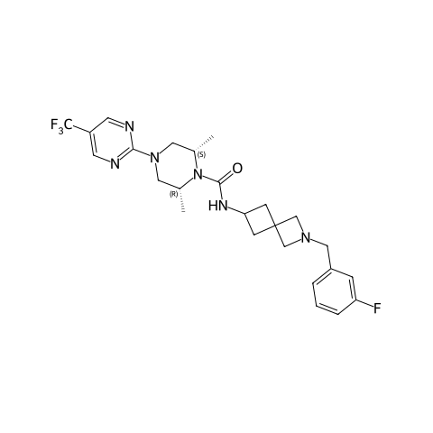 C[C@@H]1CN(c2ncc(C(F)(F)F)cn2)C[C@H](C)N1C(=O)NC1CC2(C1)CN(Cc1cccc(F)c1)C2